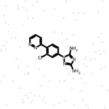 Nc1nc(N)n(-c2ccc(-c3cccnn3)c(Cl)c2)n1